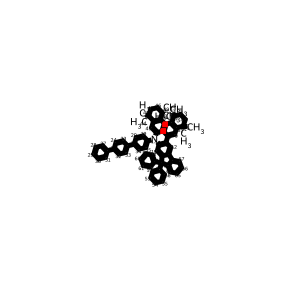 CC1(C)CCC(C)(C)c2cc(-c3cc4c(cc3N(c3ccc(-c5ccc(-c6ccccc6)cc5)cc3)c3ccc5c(c3)C(C)(C)CCC5(C)C)C(c3ccccc3)(c3ccccc3)c3ccccc3-4)ccc21